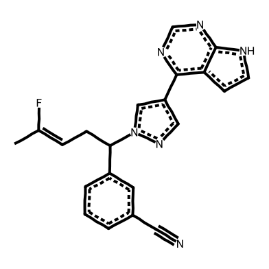 C/C(F)=C/CC(c1cccc(C#N)c1)n1cc(-c2ncnc3[nH]ccc23)cn1